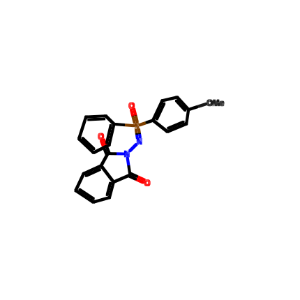 COc1ccc(S(=O)(=NN2C(=O)c3ccccc3C2=O)c2ccccc2)cc1